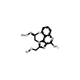 CCOCc1nc2c(N)nc3ccccc3c2n1C/C(CC)=N\OC